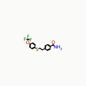 NC(=O)c1ccc(CCSc2ccc(OC(F)(F)F)cc2)cc1